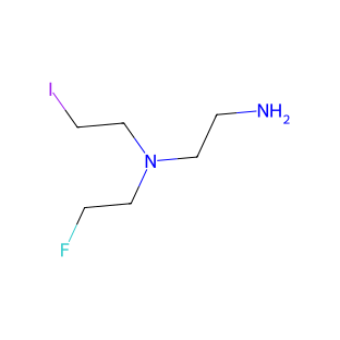 NCCN(CCF)CCI